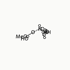 COc1cc(/C=C/CCOCCCCCCN(CC(=O)c2ccc(OCc3ccccc3)c(NS(C)(=O)=O)c2)Cc2ccccc2)ccc1O